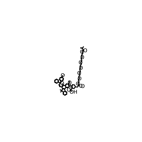 C=C(C)C(=O)OCCOCCOCCOCCOCCOCCOC(=C=O)CC1CCN(c2cc3c4c(c5c(c3cc2OC)OC(c2ccccc2)(c2ccc(OC)cc2)C=C5)C(C)(C)c2ccccc2-4)C(C(=O)O)C1